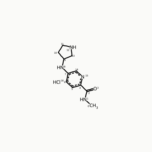 CNC(=O)c1ccc(NC2CCNC2)cn1.Cl